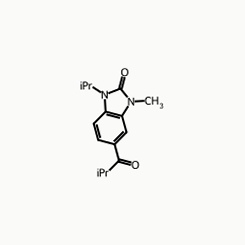 CC(C)C(=O)c1ccc2c(c1)n(C)c(=O)n2C(C)C